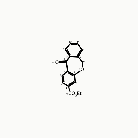 CCOC(=O)c1ccc2c(c1)OCc1ccccc1C2=O